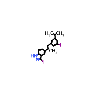 CC(C)c1cc(I)cc(CC(C)c2ccc3[nH]nc(I)c3c2)c1